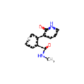 CNC(=O)c1ccccc1-c1ccc[nH]c1=O